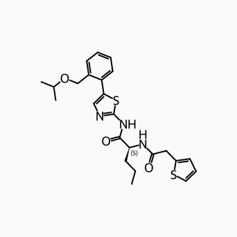 CCC[C@H](NC(=O)Cc1cccs1)C(=O)Nc1ncc(-c2ccccc2COC(C)C)s1